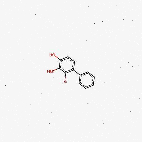 Oc1ccc(-c2ccccc2)c(Br)c1O